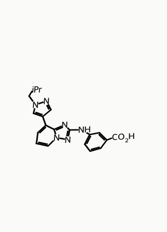 CC(C)Cn1cc(-c2cccn3nc(Nc4cccc(C(=O)O)c4)nc23)cn1